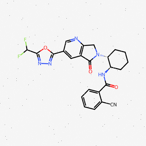 N#Cc1ccccc1C(=O)N[C@@H]1CCCC[C@H]1N1Cc2ncc(-c3nnc(C(F)F)o3)cc2C1=O